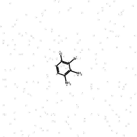 Nc1ccc(Cl)c(Br)c1N